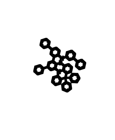 c1ccc(-c2cccc(N3B4c5cccc6c5N(c5ccccc5C6(c5ccccc5)c5ccccc5)c5cc(-c6ccccc6)cc(c54)-c4cc(-c5ccccc5)ccc43)c2)cc1